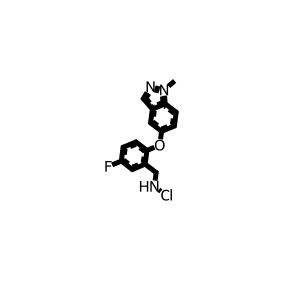 Cn1ncc2cc(Oc3ccc(F)cc3CNCl)ccc21